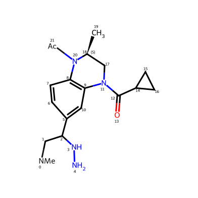 CNCC(NN)c1ccc2c(c1)N(C(=O)C1CC1)C[C@H](C)N2C(C)=O